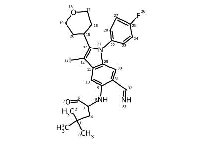 CC(C)(C)CC(C=O)Nc1cc2c(I)c(C3CCOCC3)n(-c3ccc(F)cc3)c2cc1C=N